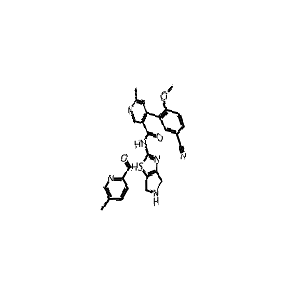 COc1ccc(C#N)cc1-c1cc(C)ncc1C(=O)NC1=NC2=C(CNC2)[SH]1C(=O)c1ccc(C)cn1